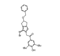 CC(C)(C)c1cc(C(=O)Cn2cc3n(/c2=N/Br)CC(OCc2ccccc2)C3)cc(C(C)(C)C)c1O